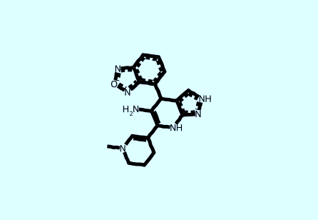 CN1C=C(C2=C(N)C(c3cccc4nonc34)c3c[nH]nc3N2)CCC1